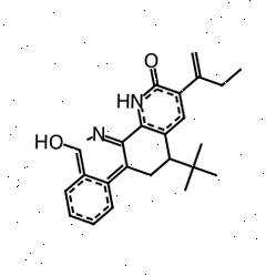 C=C(CC)c1cc2c([nH]c1=O)C(=N/C)/C(=c1/cccc/c1=C\O)CC2C(C)(C)C